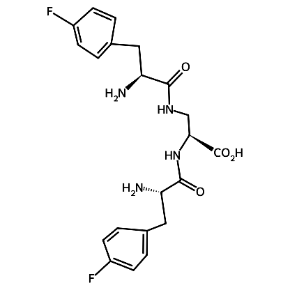 N[C@@H](Cc1ccc(F)cc1)C(=O)NC[C@H](NC(=O)[C@@H](N)Cc1ccc(F)cc1)C(=O)O